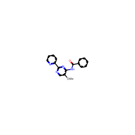 COc1cnc(-c2ccccn2)nc1NC(=O)c1ccccc1